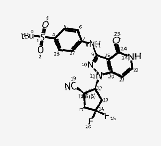 CC(C)(C)S(=O)(=O)c1ccc(Nc2nn([C@H]3CC(F)(F)C[C@H]3C#N)c3cc[nH]c(=O)c23)cc1